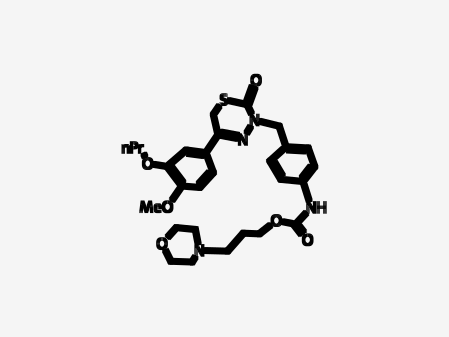 CCCOc1cc(C2=NN(Cc3ccc(NC(=O)OCCCN4CCOCC4)cc3)C(=O)SC2)ccc1OC